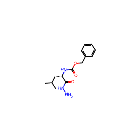 CC(C)C[C@H](NC(=O)OCc1ccccc1)C(=O)NN